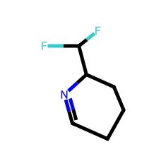 FC(F)C1CCCC=N1